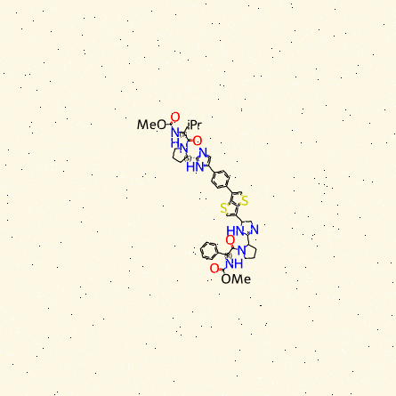 COC(=O)N[C@H](C(=O)N1CCC[C@H]1c1ncc(-c2ccc(-c3csc4c(C5CN=C(C6CCCN6C(=O)[C@H](NC(=O)OC)c6ccccc6)N5)csc34)cc2)[nH]1)C(C)C